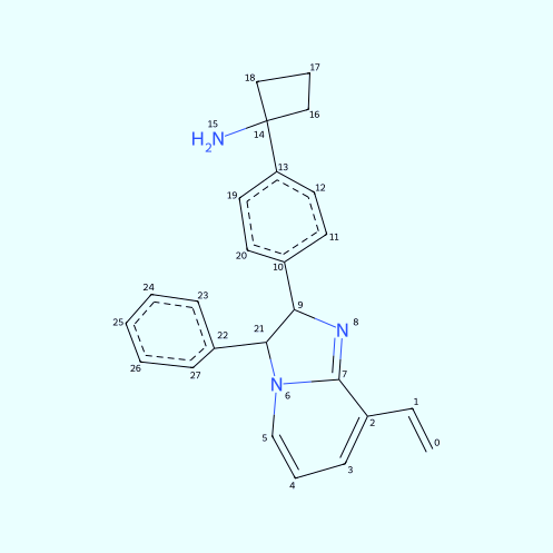 C=CC1=CC=CN2C1=NC(c1ccc(C3(N)CCC3)cc1)C2c1ccccc1